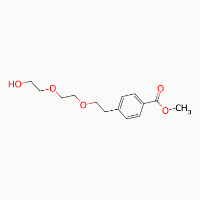 COC(=O)c1ccc(CCOCCOCCO)cc1